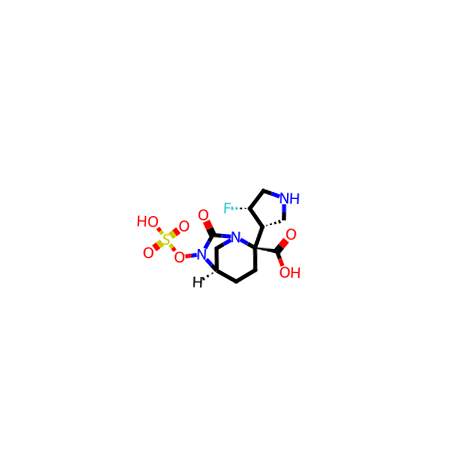 O=C1N(OS(=O)(=O)O)[C@@H]2CC[C@@](C(=O)O)([C@H]3CNC[C@H]3F)N1C2